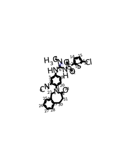 [C-]#[N+]c1cc(N/C(=N\C)NS(=O)(=O)c2ccc(Cl)s2)ccc1N1Cc2ccccc2CCC1=O